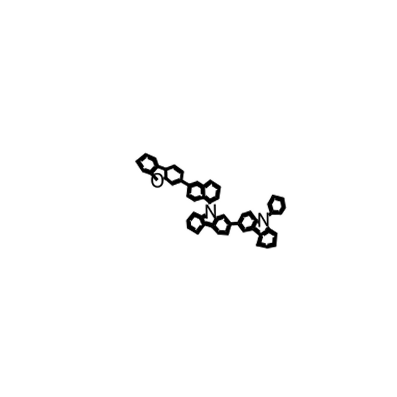 C1=CC2c3ccccc3OC2C=C1c1ccc2c(-n3c4ccccc4c4ccc(-c5ccc6c(c5)c5ccccc5n6-c5ccccc5)cc43)cccc2c1